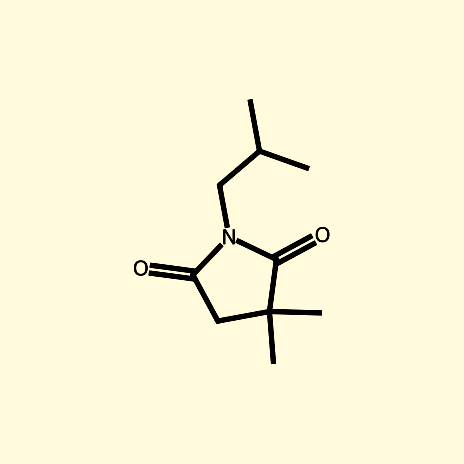 CC(C)CN1C(=O)CC(C)(C)C1=O